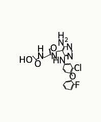 Nc1ncnc(Nc2ccc(Oc3ccccc3F)c(Cl)c2)c1-c1nc(CNC(=O)CO)co1